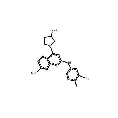 COc1ccc2c(N3CCC(NC(C)=O)C3)nc(Nc3ccc(C)c(C(F)(F)F)c3)nc2c1